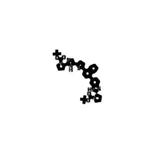 CC(C)(C)OC(=O)N1CCCC1c1ncc(-c2ccc(-c3ccc(-c4ccc5nc([C@@H]6CCCN6C(=O)OC(C)(C)C)[nH]c5c4)c4c3C3CCC4C3)s2)[nH]1